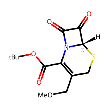 COCC1=C(C(=O)OC(C)(C)C)N2C(=O)C(=O)[C@@H]2SC1